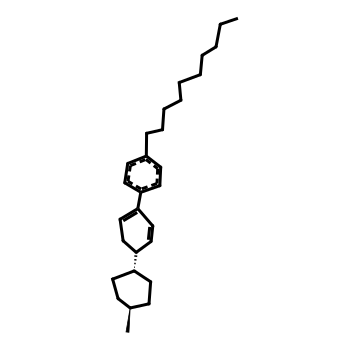 CCCCCCCCCCc1ccc(C2=CCC([C@H]3CC[C@H](C)CC3)C=C2)cc1